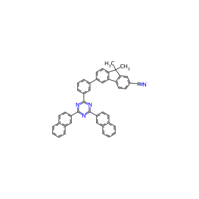 CC1(C)c2ccc(-c3cccc(-c4nc(-c5ccc6ccccc6c5)nc(-c5ccc6ccccc6c5)n4)c3)cc2-c2ccc(C#N)cc21